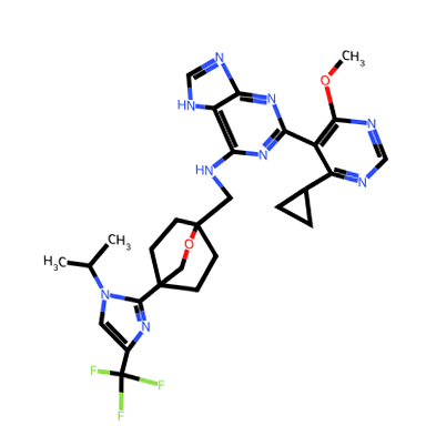 COc1ncnc(C2CC2)c1-c1nc(NCC23CCC(c4nc(C(F)(F)F)cn4C(C)C)(CC2)CO3)c2[nH]cnc2n1